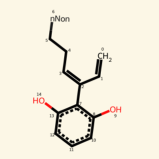 C=CC(=CCCCCCCCCCCC)c1c(O)cccc1O